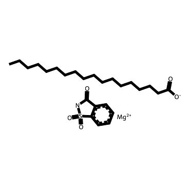 CCCCCCCCCCCCCCCCCC(=O)[O-].O=C1[N-]S(=O)(=O)c2ccccc21.[Mg+2]